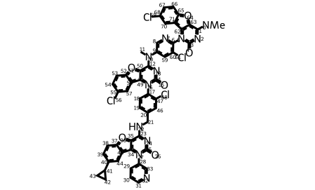 CNc1nc(=O)n(-c2ncc(N(C)c3nc(=O)n(-c4ccc(CNc5nc(=O)n(-c6cccnc6)c6c5oc5ccc(C7CC7)cc56)cc4Cl)c4c3oc3ccc(Cl)cc34)cc2Cl)c2c1oc1ccc(Cl)cc12